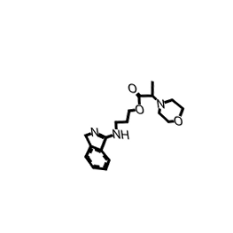 CC(C(=O)OCCCNC1=NCc2ccccc21)N1CCOCC1